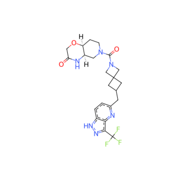 O=C1CO[C@H]2CCN(C(=O)N3CC4(CC(Cc5ccc6[nH]nc(C(F)(F)F)c6n5)C4)C3)C[C@H]2N1